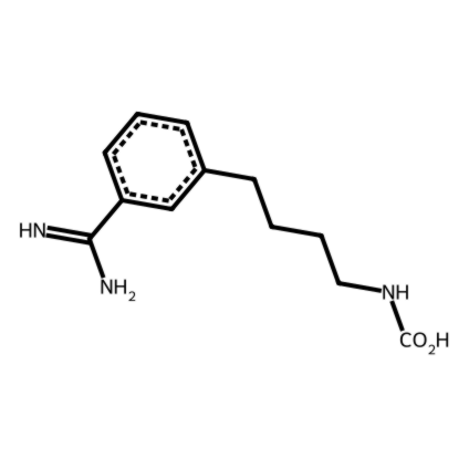 N=C(N)c1cccc(CCCCNC(=O)O)c1